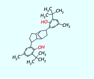 Cc1cc(C2CC3CC2C2CCC(c4cc(C)cc(C(C)(C)C)c4O)C32)c(O)c(C(C)(C)C)c1